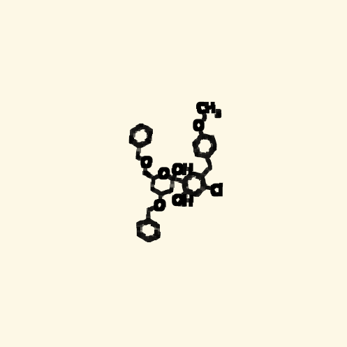 CCOc1ccc(Cc2cc(C3(O)CC(OCc4ccccc4)C[C@@H](COCc4ccccc4)O3)c(O)cc2Cl)cc1